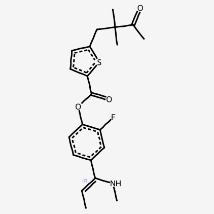 C/C=C(\NC)c1ccc(OC(=O)c2ccc(CC(C)(C)C(C)=O)s2)c(F)c1